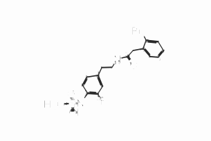 CC(C)(C)c1ccccc1CC(=O)NCCc1ccc(NS(C)(=O)=O)c(F)c1